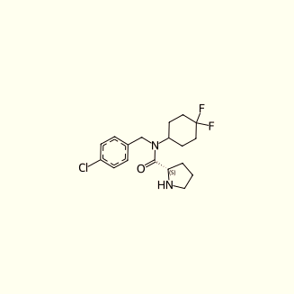 O=C([C@@H]1CCCN1)N(Cc1ccc(Cl)cc1)C1CCC(F)(F)CC1